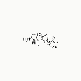 Nc1ccc(Oc2ccc(N3CCCCC3=O)cc2)cc1N